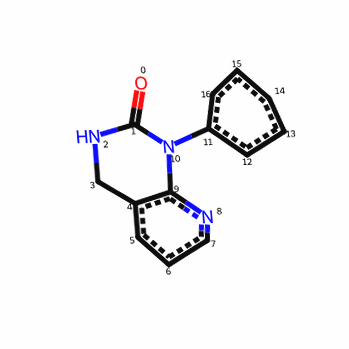 O=C1NCc2cccnc2N1c1ccccc1